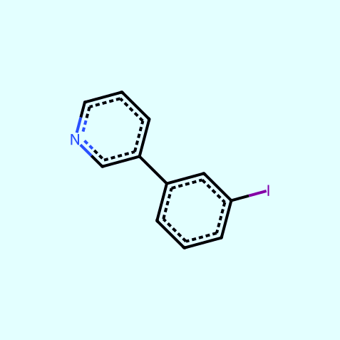 Ic1cccc(-c2cccnc2)c1